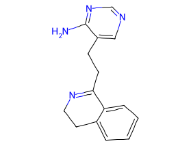 Nc1ncncc1CCC1=NCCc2ccccc21